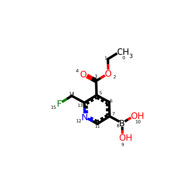 CCOC(=O)c1cc(B(O)O)cnc1CF